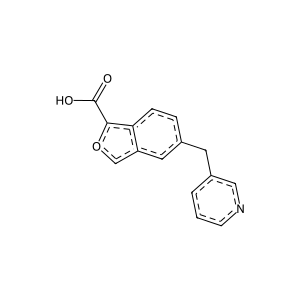 O=C(O)c1occ2cc(Cc3cccnc3)ccc12